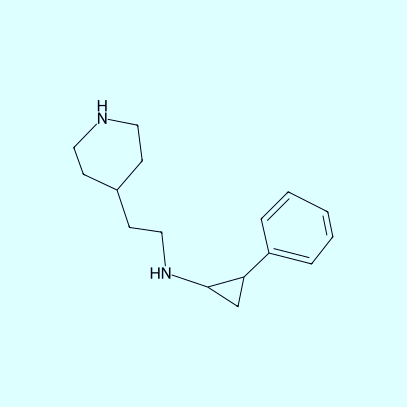 c1ccc(C2CC2NCCC2CCNCC2)cc1